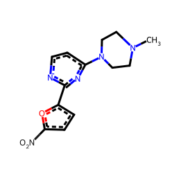 CN1CCN(c2ccnc(-c3ccc([N+](=O)[O-])o3)n2)CC1